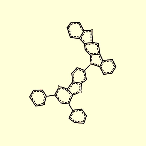 c1ccc(-c2nc(-c3ccccc3)c3oc4cc(-n5c6ccccc6c6cc7sc8ccccc8c7cc65)ccc4c3n2)cc1